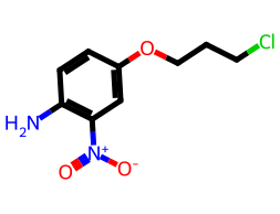 Nc1ccc(OCCCCl)cc1[N+](=O)[O-]